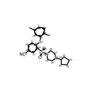 Cc1ccc(C)c(Sc2ccc(C#N)cc2S(=O)(=O)N2CCN(C3CCCC3)CC2)c1